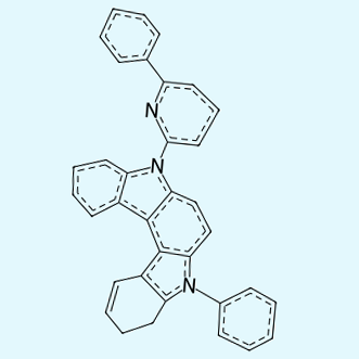 C1=Cc2c(n(-c3ccccc3)c3ccc4c(c5ccccc5n4-c4cccc(-c5ccccc5)n4)c23)CC1